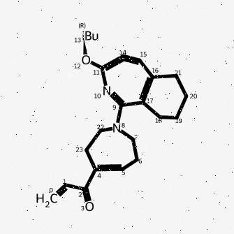 C=CC(=O)C1=CCCN(C2=NC(O[C@H](C)CC)=C=CC3=C2CCCC3)CC1